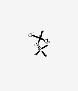 CC(Cl)(Cl)N=P(C)(C)C